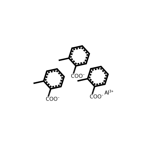 Cc1ccccc1C(=O)[O-].Cc1ccccc1C(=O)[O-].Cc1ccccc1C(=O)[O-].[Al+3]